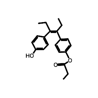 CCC(=O)Oc1ccc(C(CC)=C(CC)c2ccc(O)cc2)cc1